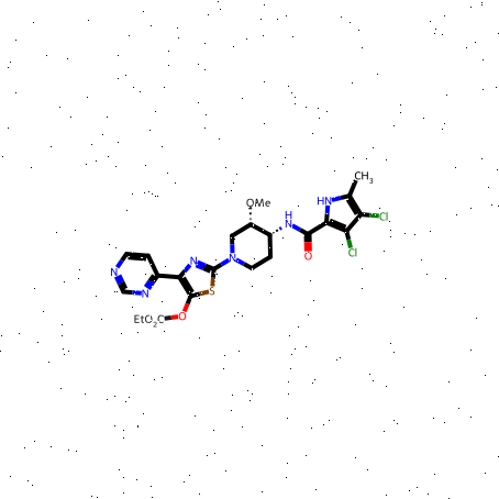 CCOC(=O)Oc1sc(N2CC[C@@H](NC(=O)c3[nH]c(C)c(Cl)c3Cl)[C@@H](OC)C2)nc1-c1ccncn1